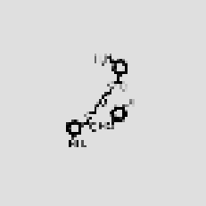 Nc1cccc(C(=O)OCCOCCOC(=O)c2cccc(N)c2)c1.Oc1ccc(O)cc1